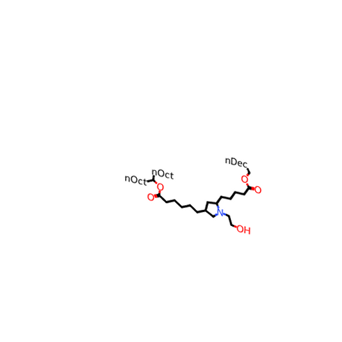 CCCCCCCCCCCOC(=O)CCCCC1CC(CCCCCC(=O)OC(CCCCCCCC)CCCCCCCC)CN1CCO